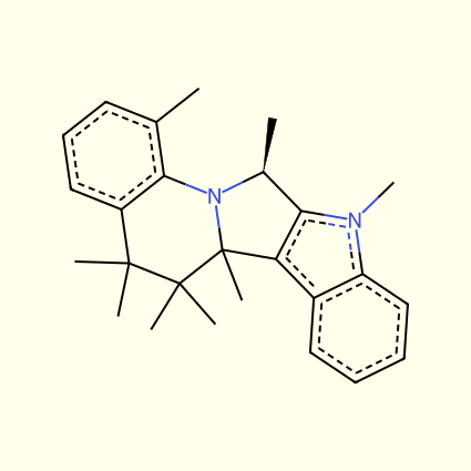 Cc1cccc2c1N1[C@@H](C)c3c(c4ccccc4n3C)C1(C)C(C)(C)C2(C)C